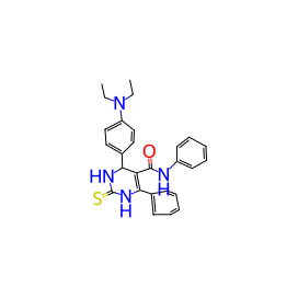 CCN(CC)c1ccc(C2NC(=S)NC(c3ccccc3)=C2C(=O)Nc2ccccc2)cc1